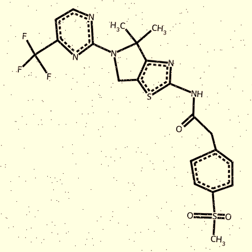 CC1(C)c2nc(NC(=O)Cc3ccc(S(C)(=O)=O)cc3)sc2CN1c1nccc(C(F)(F)F)n1